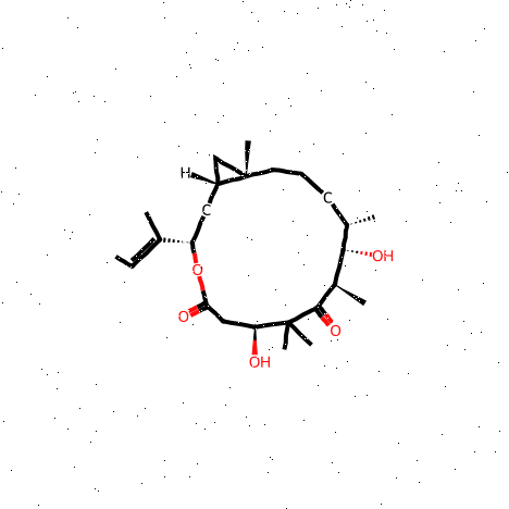 C/C=C(\C)[C@@H]1C[C@@H]2C[C@]2(C)CCC[C@H](C)[C@H](O)[C@@H](C)C(=O)C(C)(C)[C@@H](O)CC(=O)O1